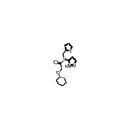 O=C(COC1CCCCC1)N(Cc1cccs1)c1ccn[nH]1